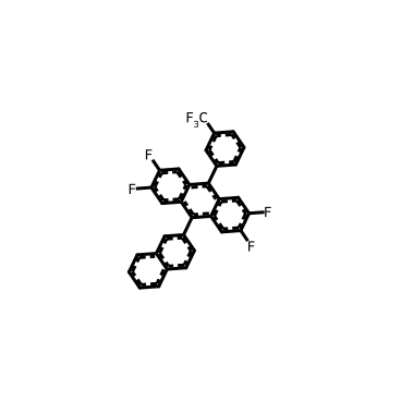 Fc1cc2c(-c3cccc(C(F)(F)F)c3)c3cc(F)c(F)cc3c(-c3ccc4ccccc4c3)c2cc1F